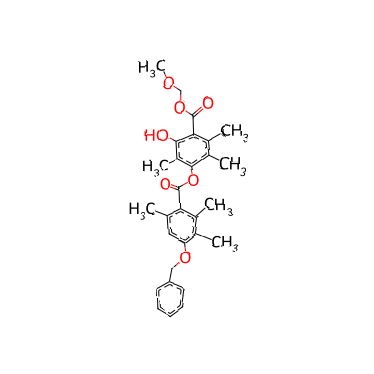 COCOC(=O)c1c(C)c(C)c(OC(=O)c2c(C)cc(OCc3ccccc3)c(C)c2C)c(C)c1O